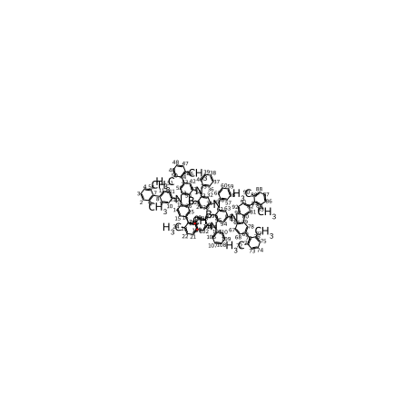 Cc1cccc(C)c1-c1ccc(N2c3ccc(-c4c(C)cccc4C)cc3B3c4cc5c(cc4N(c4ccccc4)c4cc(-c6c(C)cccc6C)cc2c43)N(c2ccccc2)c2cc(-n3c4ccc(-c6c(C)cccc6C)cc4c4cc(-c6c(C)cccc6C)ccc43)cc3c2B5c2ccccc2N3c2ccccc2)cc1